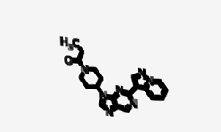 CCC(=O)N1CCC(n2cnc3cnc(-c4cnn5ccccc45)nc32)CC1